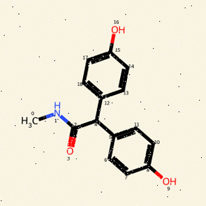 CNC(=O)C(c1ccc(O)cc1)c1ccc(O)cc1